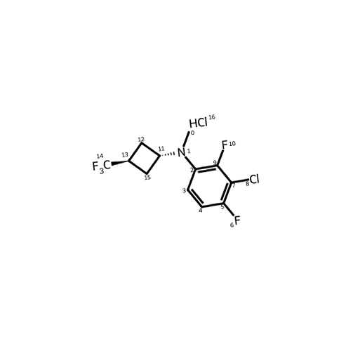 CN(c1ccc(F)c(Cl)c1F)[C@H]1C[C@H](C(F)(F)F)C1.Cl